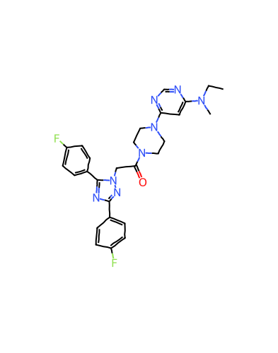 CCN(C)c1cc(N2CCN(C(=O)Cn3nc(-c4ccc(F)cc4)nc3-c3ccc(F)cc3)CC2)ncn1